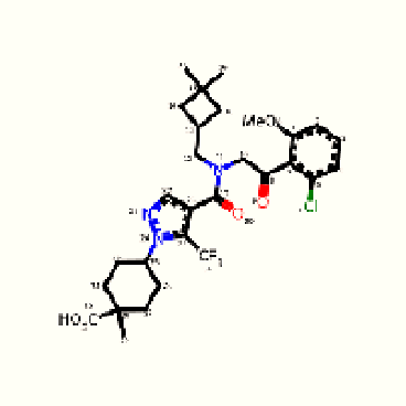 COc1cccc(Cl)c1C(=O)CN(CC1CC(C)(C)C1)C(=O)c1cnn(C2CCC(C)(C(=O)O)CC2)c1C(F)(F)F